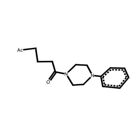 CC(=O)CCCC(=O)N1CCN(c2ccccc2)CC1